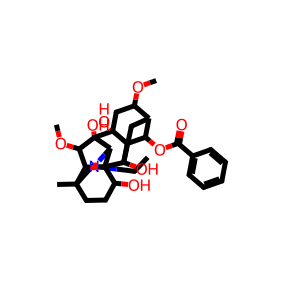 CCN1CC2(C)CCC(O)C34C2C(OC)C(O)(C13)C1(O)CC(OC)C2CC4(O)C1C2OC(=O)c1ccccc1